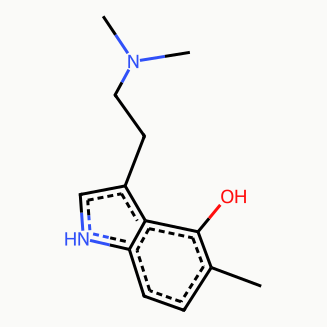 Cc1ccc2[nH]cc(CCN(C)C)c2c1O